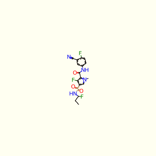 CCC(F)NS(=O)(=O)c1cn(C)c(C(=O)Nc2ccc(F)c(C#N)c2)c1F